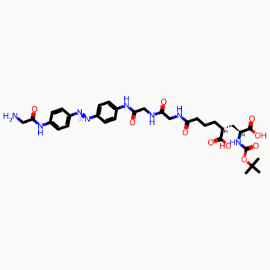 CC(C)(C)OC(=O)N[C@@H](C[C@@H](CCCC(=O)NCC(=O)NCC(=O)Nc1ccc(/N=N/c2ccc(NC(=O)CN)cc2)cc1)C(=O)O)C(=O)O